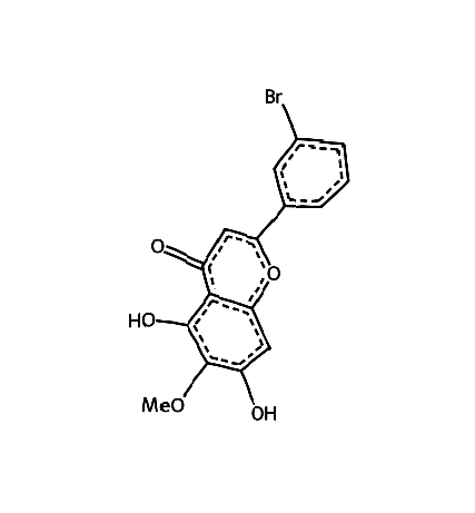 COc1c(O)cc2oc(-c3cccc(Br)c3)cc(=O)c2c1O